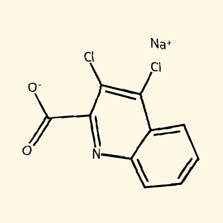 O=C([O-])c1nc2ccccc2c(Cl)c1Cl.[Na+]